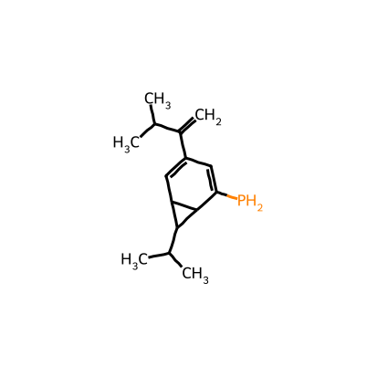 C=C(C1=CC2C(C(P)=C1)C2C(C)C)C(C)C